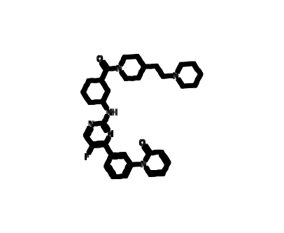 O=C(C1CCCC(Nc2ncc(F)c(-c3cccc(-n4ccccc4=O)c3)n2)C1)N1CCC(CCN2CCCCC2)CC1